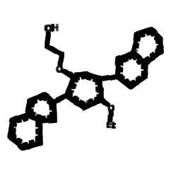 CCOc1cc(-c2ccc3ccccc3c2)c(OCCO)cc1-c1ccc2ccccc2c1